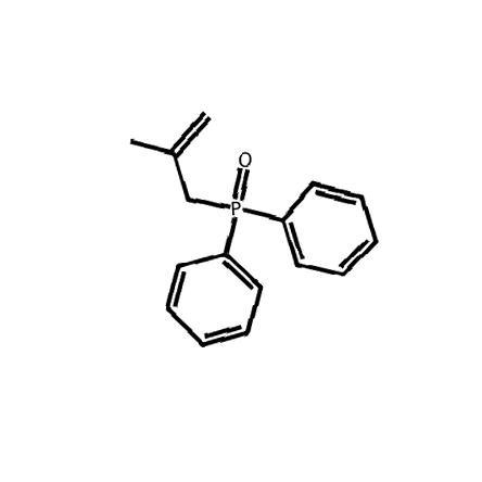 C=C(C)CP(=O)(c1ccccc1)c1ccccc1